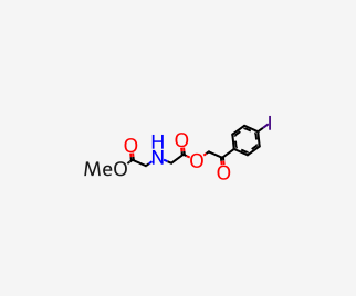 COC(=O)CNCC(=O)OCC(=O)c1ccc(I)cc1